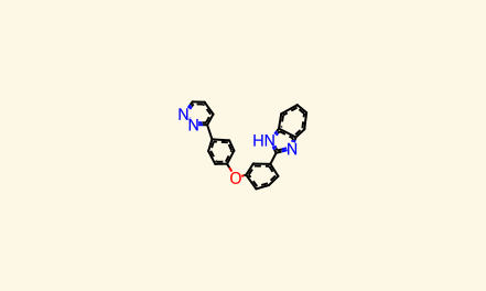 c1cc(Oc2ccc(-c3cccnn3)cc2)cc(-c2nc3ccccc3[nH]2)c1